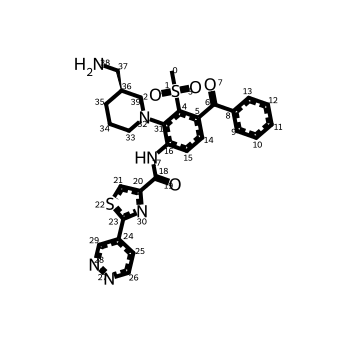 CS(=O)(=O)c1c(C(=O)c2ccccc2)ccc(NC(=O)c2csc(-c3ccnnc3)n2)c1N1CCC[C@@H](CN)C1